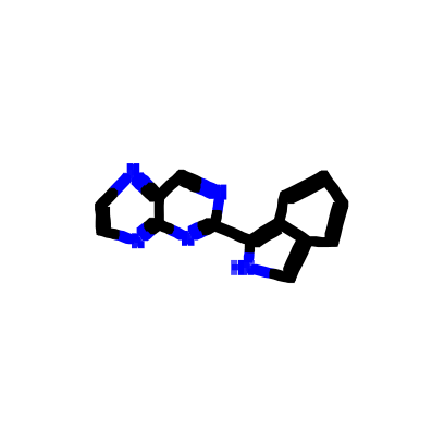 c1ccc2c(-c3ncc4nccnc4n3)[nH]cc2c1